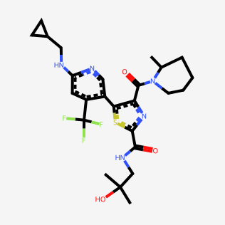 CC1CCCCN1C(=O)c1nc(C(=O)NCC(C)(C)O)sc1-c1cnc(NCC2CC2)cc1C(F)(F)F